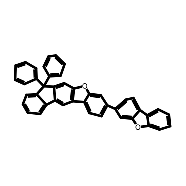 c1ccc(C2(c3ccccc3)c3ccccc3-c3cc4c(cc32)oc2cc(-c3ccc5c(c3)oc3ccccc35)ccc24)cc1